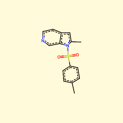 Cc1ccc(S(=O)(=O)n2c(C)cc3ccncc32)cc1